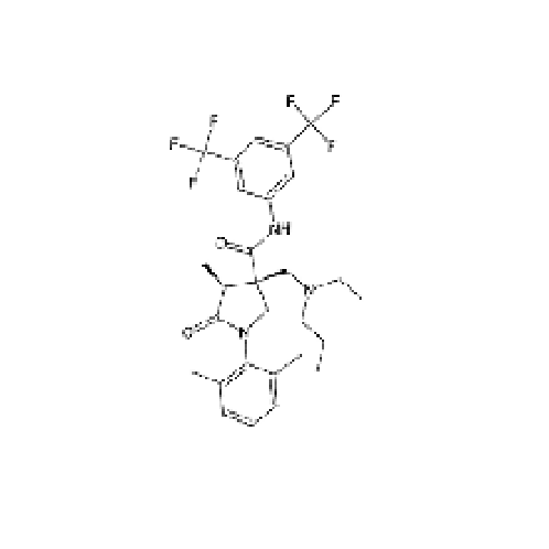 CCCN(CC)C[C@@]1(C(=O)Nc2cc(C(F)(F)F)cc(C(F)(F)F)c2)CN(c2c(C)cccc2C)C(=O)[C@H]1C